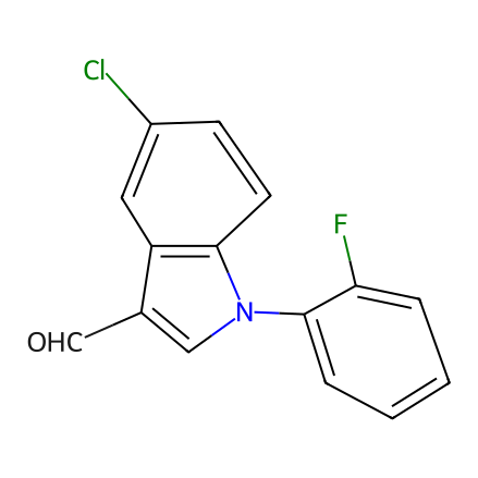 O=Cc1cn(-c2ccccc2F)c2ccc(Cl)cc12